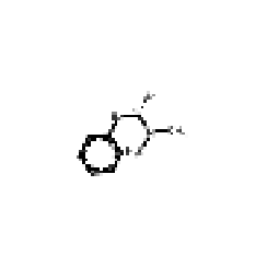 CC(=O)[C@@H](Nc1ccccc1)N(C)C